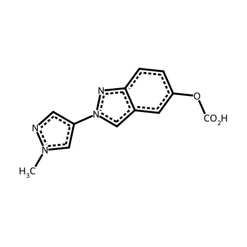 Cn1cc(-n2cc3cc(OC(=O)O)ccc3n2)cn1